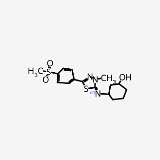 Cn1nc(-c2ccc(S(C)(=O)=O)cc2)s/c1=N/C1CCCC(O)C1